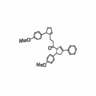 COc1ccc(C2C=CC=C2CCC(=O)C2C=C(c3ccccc3)CC2c2ccc(OC)cc2)cc1